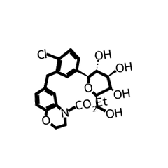 CCOC(=O)N1CCOc2ccc(Cc3cc([C@@H]4O[C@H](CO)[C@@H](O)[C@H](O)[C@H]4O)ccc3Cl)cc21